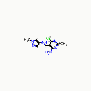 Cc1nc(N)c(CNc2cnn(C)c2)c(Cl)n1